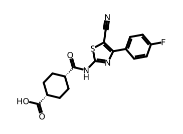 N#Cc1sc(NC(=O)[C@H]2CC[C@@H](C(=O)O)CC2)nc1-c1ccc(F)cc1